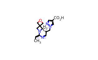 C=C(/C=N\C(=C/C)N1CC2(COC2)C1)Cn1cc(C(=O)O)cn1